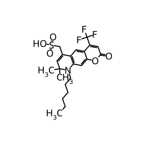 CCCCCCN1c2cc3oc(=O)cc(C(F)(F)F)c3cc2C(CS(=O)(=O)O)=CC1(C)C